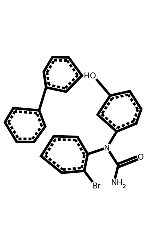 NC(=O)N(c1cccc(O)c1)c1ccccc1Br.c1ccc(-c2ccccc2)cc1